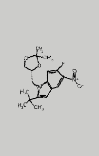 CC1(C)OC[C@@H](Cn2c(C(C)(C)C)cc3cc([N+](=O)[O-])c(F)cc32)O1